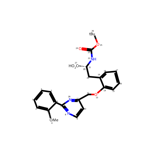 COc1ccccc1-c1nccc(COc2ccccc2C[C@@H](NC(=O)OC(C)(C)C)C(=O)O)n1